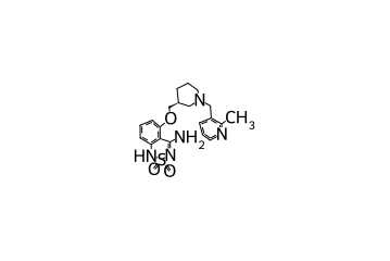 Cc1ncccc1CN1CCC[C@H](COc2cccc3c2C(N)=NS(=O)(=O)N3)C1